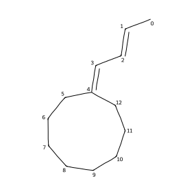 CC=CC=C1CCCCCCCC1